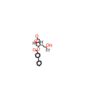 CC[C@H](O)CC[C@H]1C(OC(=O)c2ccc(-c3ccccc3)cc2)C[C@@H]2OC(=O)C[C@@H]21